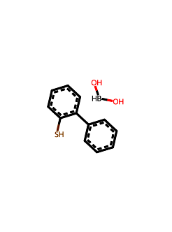 OBO.Sc1ccccc1-c1ccccc1